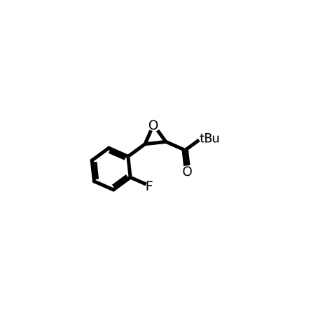 CC(C)(C)C(=O)C1OC1c1ccccc1F